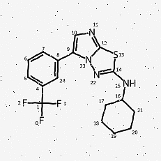 FC(F)(F)c1cccc(-c2cnc3sc(NC4CCCCC4)nn23)c1